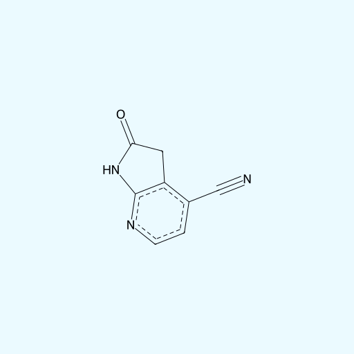 N#Cc1ccnc2c1CC(=O)N2